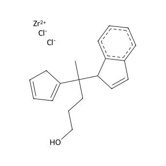 CC(CCCO)(C1=CC=CC1)C1C=Cc2ccccc21.[Cl-].[Cl-].[Zr+2]